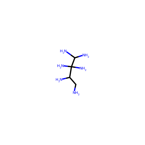 NCC(N)C(N)(N)C(N)N